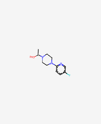 CB(O)N1CCN(c2ccc(F)cn2)CC1